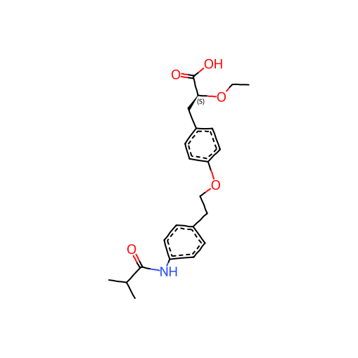 CCO[C@@H](Cc1ccc(OCCc2ccc(NC(=O)C(C)C)cc2)cc1)C(=O)O